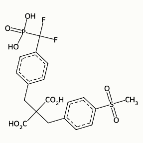 CS(=O)(=O)c1ccc(CC(Cc2ccc(C(F)(F)P(=O)(O)O)cc2)(C(=O)O)C(=O)O)cc1